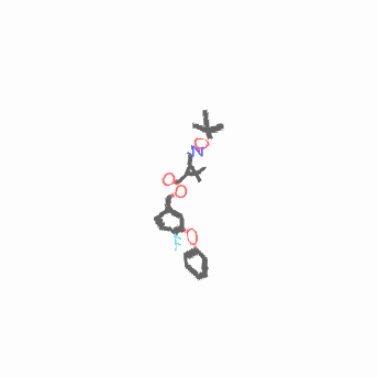 CC(C)(C)CON=CC1C(C(=O)OCc2ccc(F)c(Oc3ccccc3)c2)C1(C)C